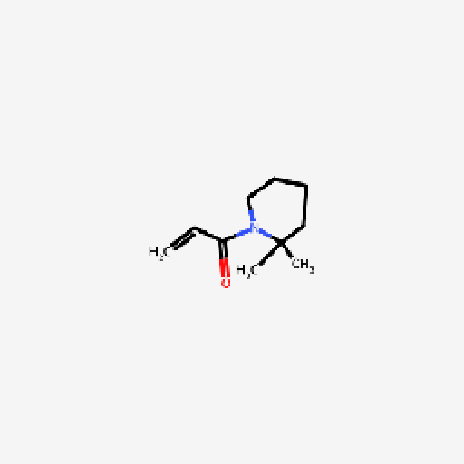 C=CC(=O)N1C[CH]CCC1(C)C